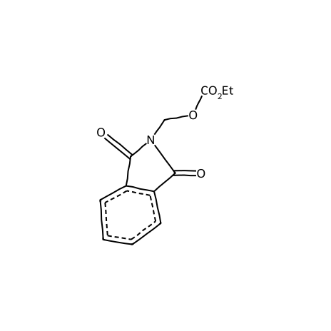 CCOC(=O)OCN1C(=O)c2ccccc2C1=O